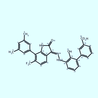 Cc1cc(C)cc(-c2c(C(F)(F)F)ccc3c2NC(=O)C3=NNc2cccc(-c3cccc(C(=O)O)c3)c2O)c1